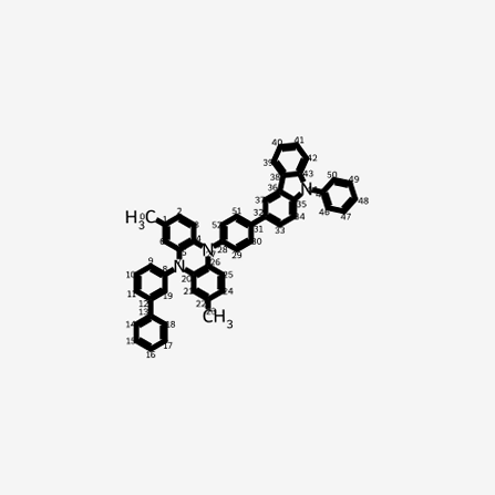 Cc1ccc2c(c1)N(c1cccc(-c3ccccc3)c1)c1cc(C)ccc1N2c1ccc(-c2ccc3c(c2)c2ccccc2n3-c2ccccc2)cc1